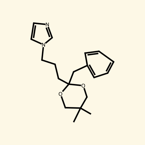 CC1(C)COC(CCCn2ccnc2)(Cc2ccccc2)OC1